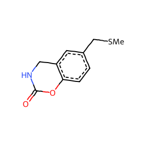 CSCc1ccc2c(c1)CNC(=O)O2